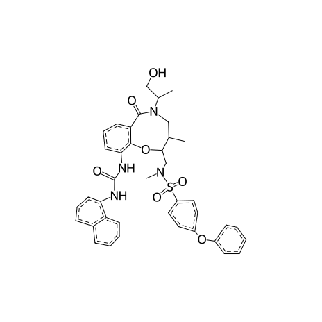 CC1CN(C(C)CO)C(=O)c2cccc(NC(=O)Nc3cccc4ccccc34)c2OC1CN(C)S(=O)(=O)c1ccc(Oc2ccccc2)cc1